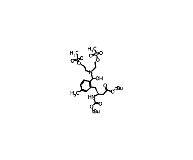 Cc1ccc([C@H](O)N(CCOS(C)(=O)=O)CCOS(C)(=O)=O)c(C[C@@H](CC(=O)OC(C)(C)C)NC(=O)OC(C)(C)C)c1